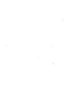 CC(=O)OCCC1CC(CCN)OC(C)(C)O1